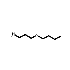 [CH2]CCCNCCCN